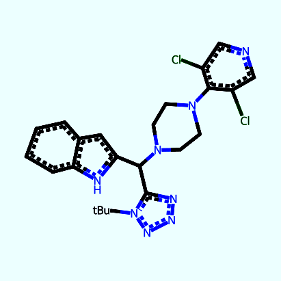 CC(C)(C)n1nnnc1C(c1cc2ccccc2[nH]1)N1CCN(c2c(Cl)cncc2Cl)CC1